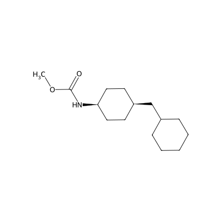 COC(=O)N[C@H]1CC[C@@H](CC2CCCCC2)CC1